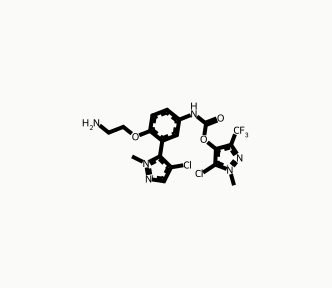 Cn1nc(C(F)(F)F)c(OC(=O)Nc2ccc(OCCN)c(-c3c(Cl)cnn3C)c2)c1Cl